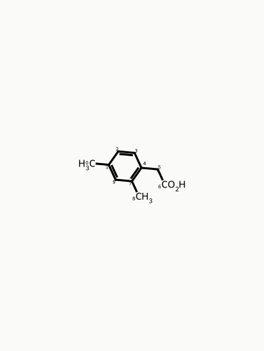 Cc1ccc([CH]C(=O)O)c(C)c1